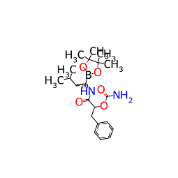 CC(C)C[C@H](NC(=O)C(Cc1ccccc1)OC(N)=O)B1OC(C)(C)C(C)(C)O1